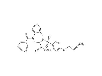 C=C=CCOc1ccc(S(=O)(=O)N2Cc3ccccc3N(C(=O)c3ccccc3)CC2C(=O)OC)cc1